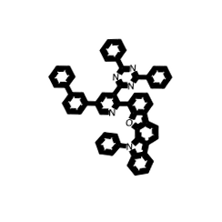 c1ccc(-c2cccc(-c3cnc(-c4cccc5c4oc4c5ccc5c6ccccc6n(-c6ccccc6)c54)c(-c4nc(-c5ccccc5)nc(-c5ccccc5)n4)c3)c2)cc1